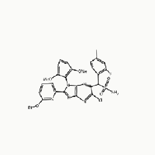 CCOc1cccc(-c2nc3nc(Cl)c(C(c4ccc(C)cc4F)S(N)(=O)=O)nc3n2-c2c(OC)cccc2OC)n1